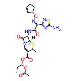 CCC(OC(C)=O)OC(=O)C1=CN2C(=O)C(NC(=O)C(=NOC3C=CCC3)c3nsc(N)n3)[C@H]2SC1C